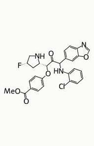 COC(=O)c1ccc(OC(C(=O)C(Nc2ccccc2Cl)c2ccc3ncoc3c2)[C@@H]2C[C@H](F)CN2)cc1